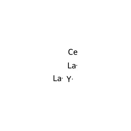 [Ce].[La].[La].[Y]